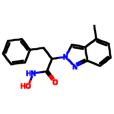 Cc1cccc2nn(C(Cc3ccccc3)C(=O)NO)cc12